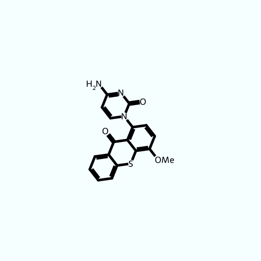 COc1ccc(-n2ccc(N)nc2=O)c2c(=O)c3ccccc3sc12